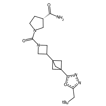 CC(C)(C)Cc1nnc(C23CC(C4CN(C(=O)N5CC[C@H](C(N)=O)C5)C4)(C2)C3)o1